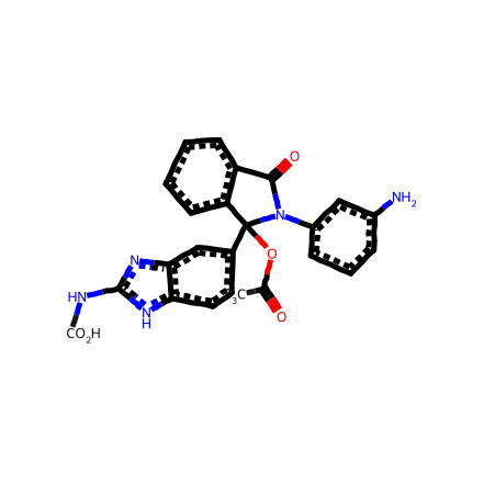 Nc1cccc(N2C(=O)c3ccccc3C2(OC(=O)C(F)(F)F)c2ccc3[nH]c(NC(=O)O)nc3c2)c1